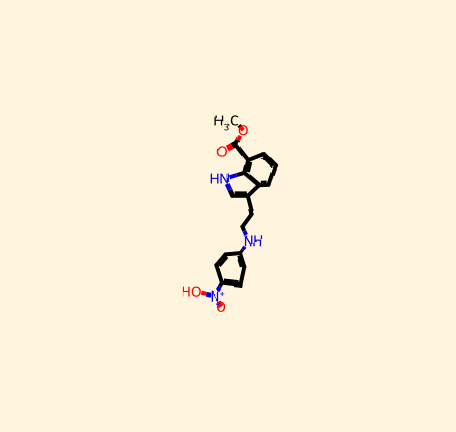 COC(=O)c1cccc2c(CCNc3ccc([N+](=O)O)cc3)c[nH]c12